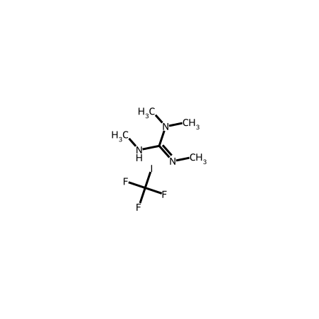 CN=C(NC)N(C)C.FC(F)(F)I